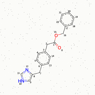 O=C(Cc1ccc(Cc2c[nH]cn2)cc1)OCc1ccccc1